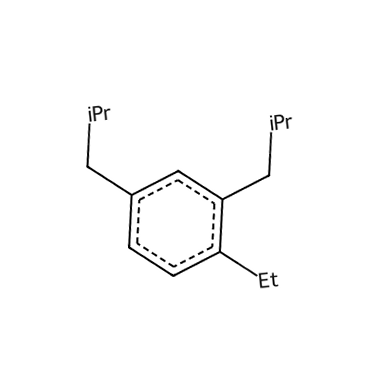 [CH2]Cc1ccc(CC(C)C)cc1CC(C)C